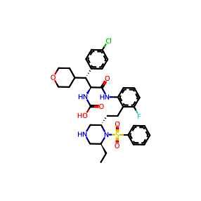 CC[C@H]1CNC[C@H](CCc2c(F)cccc2NC(=O)[C@@H](NC(=O)O)[C@@H](c2ccc(Cl)cc2)C2CCOCC2)N1S(=O)(=O)c1ccccc1